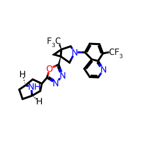 FC(F)(F)c1ccc(N2C[C@]3(c4nnc(C5C[C@H]6CC[C@@H](C5)N6)o4)C[C@]3(C(F)(F)F)C2)c2cccnc12